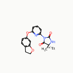 CC[C@@]1(C)NC(=O)N(c2cccc(Oc3ccc4c(c3)OCC4)n2)C1=O